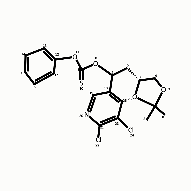 CC1(C)OC[C@@H](CC(OC(=S)Oc2ccccc2)c2cnc(Cl)c(Cl)c2)O1